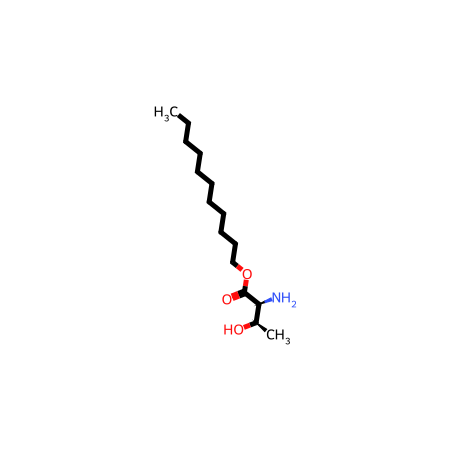 CCCCCCCCCCCOC(=O)[C@@H](N)[C@@H](C)O